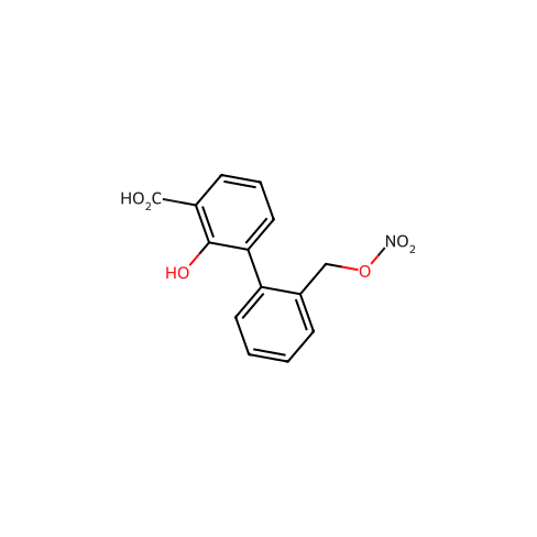 O=C(O)c1cccc(-c2ccccc2CO[N+](=O)[O-])c1O